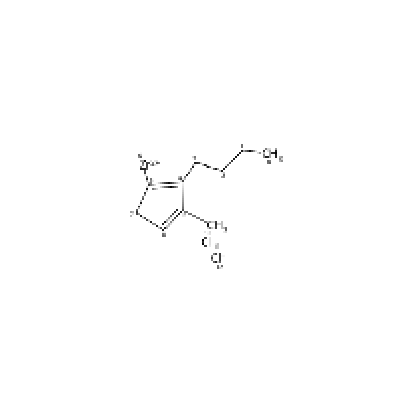 CCCCC1=[C]([Zr+2])CC=C1C.[Cl-].[Cl-]